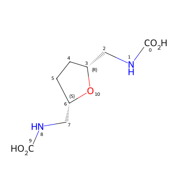 O=C(O)NC[C@H]1CC[C@@H](CNC(=O)O)O1